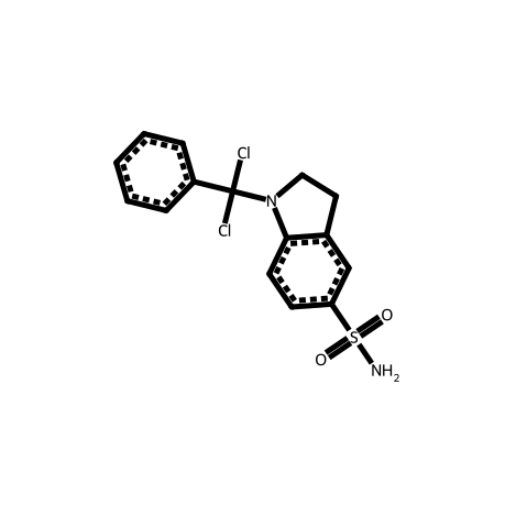 NS(=O)(=O)c1ccc2c(c1)CCN2C(Cl)(Cl)c1ccccc1